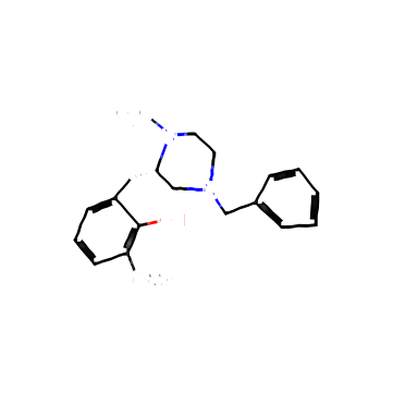 COc1cccc(C[C@H]2CN(Cc3ccccc3)CCN2C(=O)O)c1O